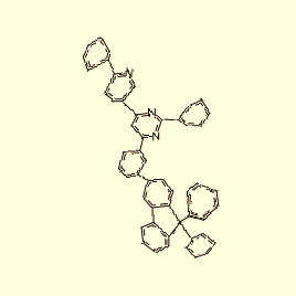 c1ccc(-c2ccc(-c3cc(-c4cccc(-c5ccc6c(c5)-c5ccccc5C6(c5ccccc5)c5ccccc5)c4)nc(-c4ccccc4)n3)cn2)cc1